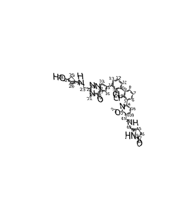 COc1nc(-c2cccc(-c3cccc(-c4cc5c(=O)n(C)c(CNC67CC(O)(C6)C7)nn5c4)c3Cl)c2Cl)ccc1CNC[C@H]1CCC(=O)N1